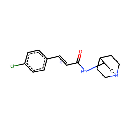 O=C(/C=C/c1ccc(Cl)cc1)NC1CN2CCC1CC2